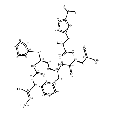 CC(C)c1nc(CN(C)C(=O)N[C@@H](CC(=O)O)C(=O)N[C@H](CC[C@H](Cc2ccccc2)NC(=O)OC/C(S)=C/N)Cc2ccccc2)cs1